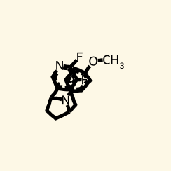 COc1ccc(N2C3CCC2c2cnc(F)c(F)c2C3)cc1